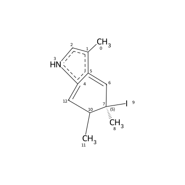 Cc1c[nH]c2c1=C[C@@](C)(I)C(C)C=2